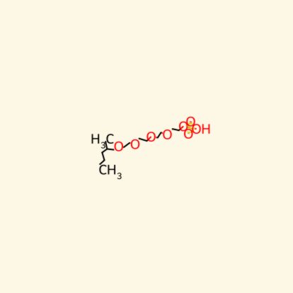 CCCCC(CC)COCCOCCOCCOCCOS(=O)(=O)O